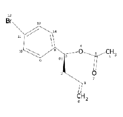 C=CC[C@H](OC(C)=O)c1ccc(Br)cc1